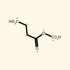 O=C(O)CCC(=O)OC(=O)O